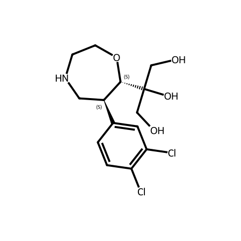 OCC(O)(CO)[C@H]1OCCNC[C@@H]1c1ccc(Cl)c(Cl)c1